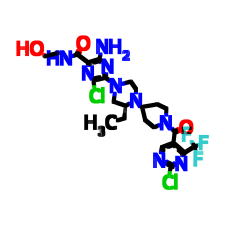 CC[C@H]1CN(c2nc(N)c(C(=O)NCCO)nc2Cl)CCN1C1CCN(C(=O)c2cnc(Cl)nc2C(F)(F)F)CC1